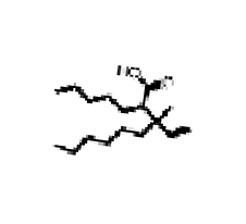 C=CC(C)(CCCCCC)C(CCCCC)C(=O)O